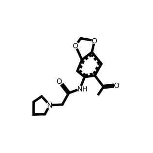 CC(=O)c1cc2c(cc1NC(=O)CN1CCCC1)OCO2